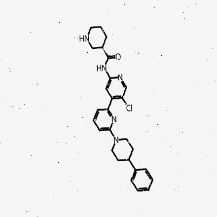 O=C(Nc1cc(-c2cccc(N3CCC(c4ccccc4)CC3)n2)c(Cl)cn1)[C@@H]1CCCNC1